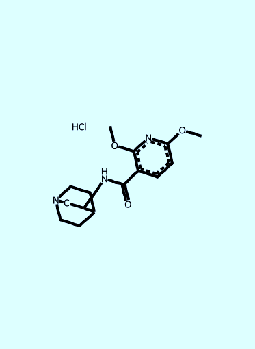 COc1ccc(C(=O)NC2CN3CCC2CC3)c(OC)n1.Cl